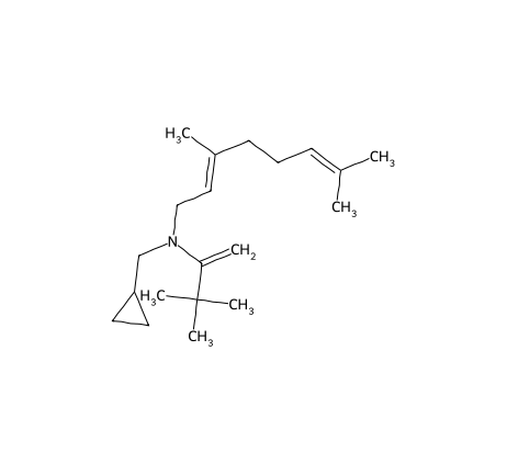 C=C(N(C/C=C(\C)CCC=C(C)C)CC1CC1)C(C)(C)C